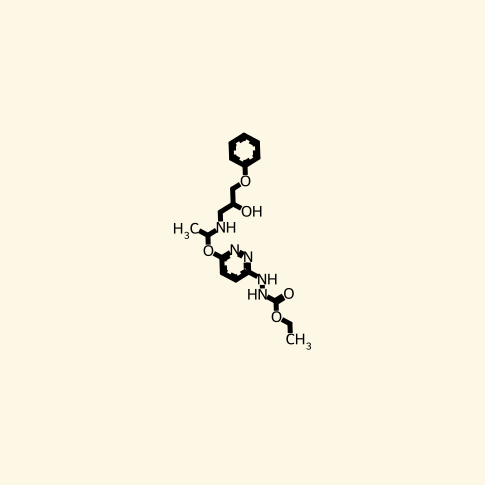 CCOC(=O)NNc1ccc(OC(C)NCC(O)COc2ccccc2)nn1